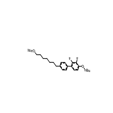 CCCCOc1ccc(-c2ccc(CCCCCCCOC)cc2)c(F)c1F